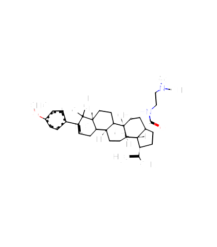 C=C(C)[C@@H]1CC[C@]2(C(=O)NCCN(C)C(C)=O)CC[C@]3(C)[C@H](CC[C@@H]4[C@@]5(C)CC=C(c6ccc(OC=O)cc6)C(C)(C)[C@@H]5CC[C@]43C)[C@@H]12